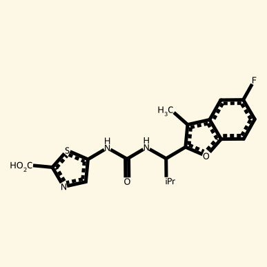 Cc1c(C(NC(=O)Nc2cnc(C(=O)O)s2)C(C)C)oc2ccc(F)cc12